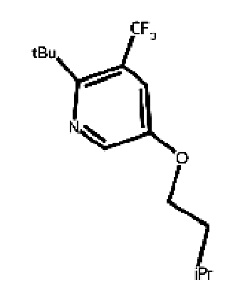 CC(C)CCOc1cnc(C(C)(C)C)c(C(F)(F)F)c1